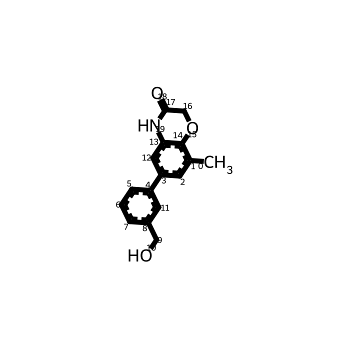 Cc1cc(-c2cccc(CO)c2)cc2c1OCC(=O)N2